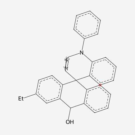 CCc1ccc2c(c1)C(O)c1ccccc1C21c2ccccc2N(c2ccccc2)c2ccccc21